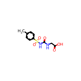 Cc1ccc(S(=O)(=O)NC(=O)NCC(=O)O)cc1